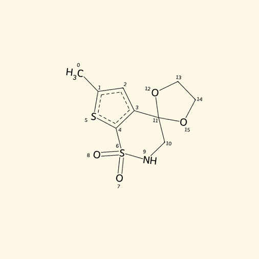 Cc1cc2c(s1)S(=O)(=O)NCC21OCCO1